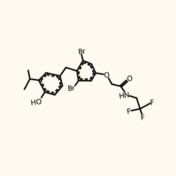 CC(C)c1cc(Cc2c(Br)cc(OCC(=O)NCC(F)(F)F)cc2Br)ccc1O